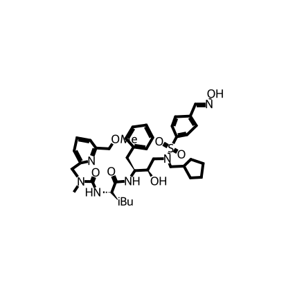 CC[C@H](C)[C@H](NC(=O)N(C)Cc1cccc(COC)n1)C(=O)N[C@@H](Cc1ccccc1)[C@H](O)CN(CC1CCCC1)S(=O)(=O)c1ccc(/C=N/O)cc1